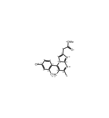 COC(=O)Cc1cn2c(-c3ccc(Cl)cc3Cl)c(C#N)c(C)nc2n1